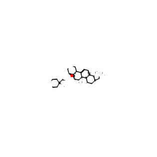 CO[C@@H]1C[C@@]23COC[C@@](C)([C@@H]2CC[C@H]2C3=CC[C@@]3(C)[C@H](C(=O)O)[C@@](C)([C@H](C)C(C)C)CC[C@]23C)[C@H]1OCC1(N)CCOCC1